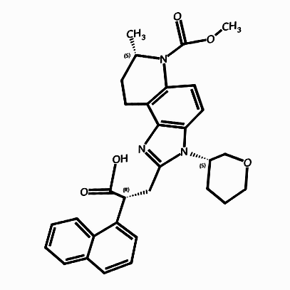 COC(=O)N1c2ccc3c(nc(C[C@@H](C(=O)O)c4cccc5ccccc45)n3[C@H]3CCCOC3)c2CC[C@@H]1C